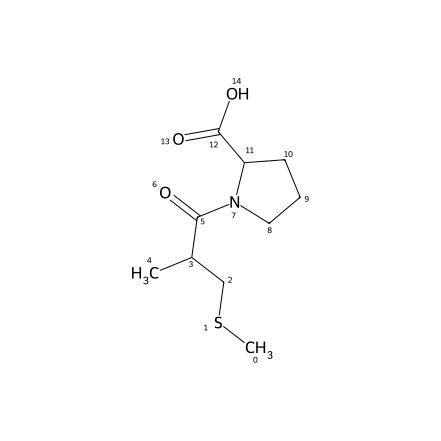 CSCC(C)C(=O)N1CCCC1C(=O)O